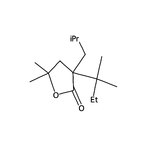 CCC(C)(C)C1(CC(C)C)CC(C)(C)OC1=O